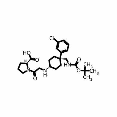 CC(C)(C)OC(=O)NC[C@]1(c2cccc(Cl)c2)CC[C@@H](NCC(=O)N2CCC[C@H]2C(=O)O)CC1